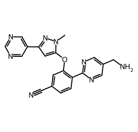 Cn1nc(-c2cncnc2)cc1Oc1cc(C#N)ccc1-c1ncc(CN)cn1